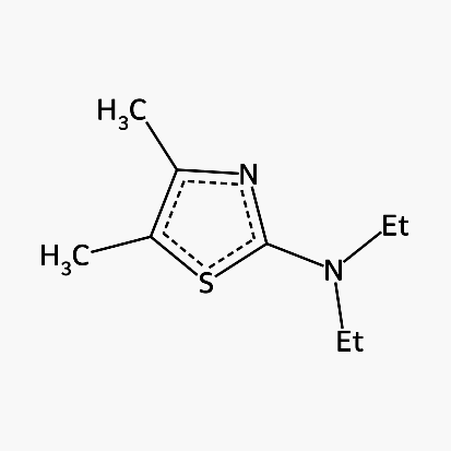 CCN(CC)c1nc(C)c(C)s1